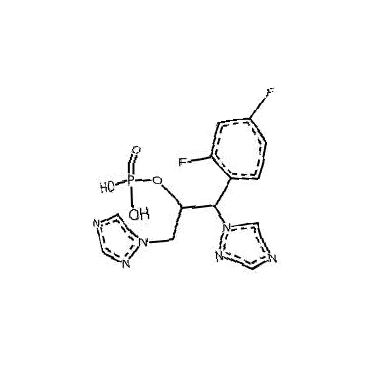 O=P(O)(O)OC(Cn1cncn1)C(c1ccc(F)cc1F)n1cncn1